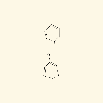 C1=CC(OCc2ccccc2)=CCC1